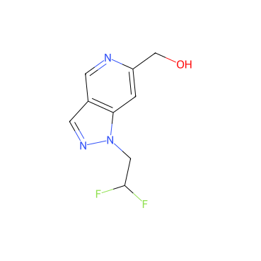 OCc1cc2c(cn1)cnn2CC(F)F